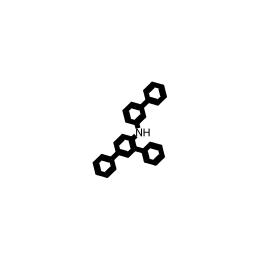 c1ccc(-c2cccc(Nc3ccc(-c4ccccc4)cc3-c3ccccc3)c2)cc1